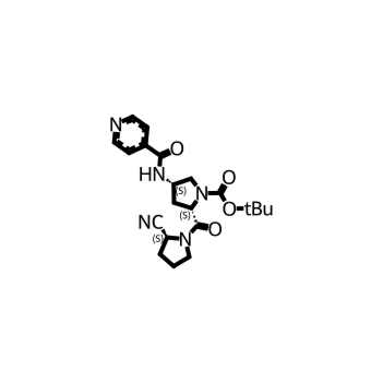 CC(C)(C)OC(=O)N1C[C@@H](NC(=O)c2ccncc2)C[C@H]1C(=O)N1CCC[C@H]1C#N